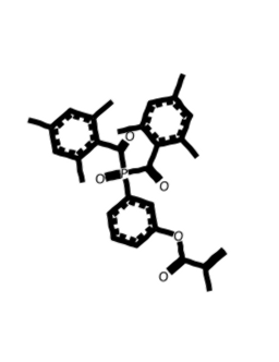 C=C(C)C(=O)Oc1cccc(P(=O)(C(=O)c2c(C)cc(C)cc2C)C(=O)c2c(C)cc(C)cc2C)c1